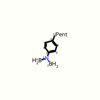 BN(B)c1ccc(C(C)CCC)cc1